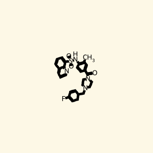 Cc1cc(C(=O)N2CCN(CC3C=CC(F)=CC3)CC2)ccc1NS(=O)(=O)c1cccc2cccnc12